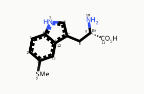 CSc1ccc2[nH]cc(C[C@H](N)C(=O)O)c2c1